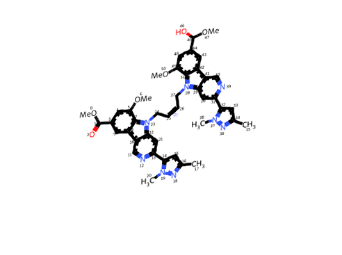 COC(=O)c1cc(OC)c2c(c1)c1cnc(-c3cc(C)nn3C)cc1n2C/C=C\Cn1c2cc(-c3cc(C)nn3C)ncc2c2cc(C(O)OC)cc(OC)c21